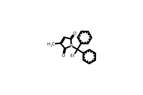 CCC(c1ccccc1)(c1ccccc1)N1C(=O)C=C(C)C1=O